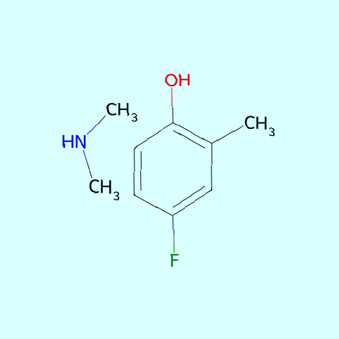 CNC.Cc1cc(F)ccc1O